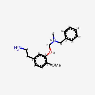 COc1ccc(CCN)cc1OCN(C)Cc1ccccc1